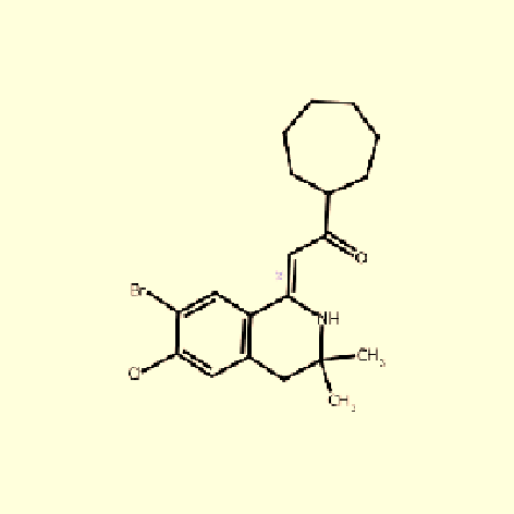 CC1(C)Cc2cc(Cl)c(Br)cc2/C(=C/C(=O)C2CCCCCC2)N1